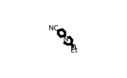 CCOC1CCN([C@H]2CC[C@H](C#N)CC2)CC1